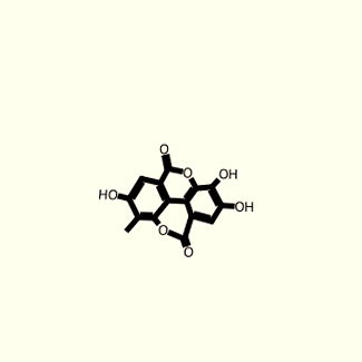 Cc1c(O)cc2c(=O)oc3c(O)c(O)cc4c(=O)oc1c2c34